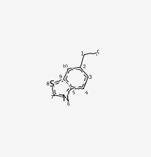 [CH2]Cc1ccc2ncsc2c1